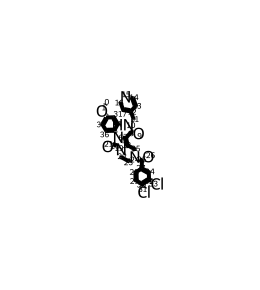 COc1ccc(-n2c(C(=O)NCc3ccncc3)c3n(c2=O)CCN(C(=O)c2ccc(Cl)c(Cl)c2)C3)cc1